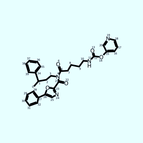 CC(CCN(C(=O)CCCCNC(=O)Oc1cccnc1)C(=O)c1ncc(-c2ccccc2)o1)c1ccccc1